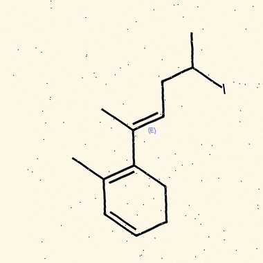 CC1=C(/C(C)=C/CC(C)I)CCC=C1